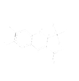 O=C(O)C1=Cc2cc(Cl)c(Cl)cc2NC1C(F)(F)F